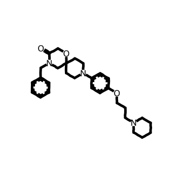 O=C1COC2(CCN(c3ccc(OCCCN4CCCCC4)cc3)CC2)CN1Cc1ccccc1